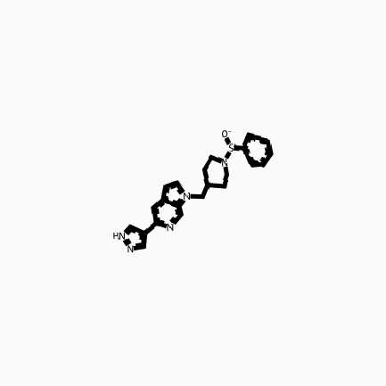 [O-][S+](c1ccccc1)N1CCC(Cn2ccc3cc(-c4cn[nH]c4)ncc32)CC1